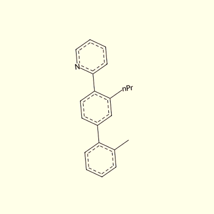 CCCc1cc(-c2ccccc2C)ccc1-c1ccccn1